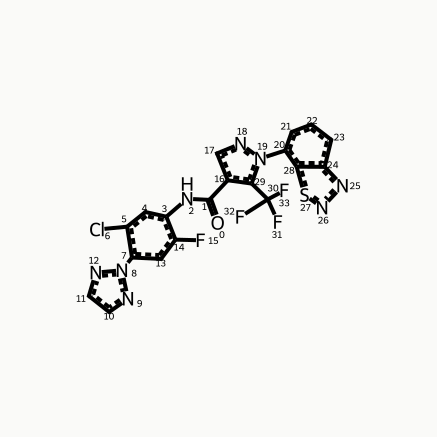 O=C(Nc1cc(Cl)c(-n2nccn2)cc1F)c1cnn(-c2cccc3nnsc23)c1C(F)(F)F